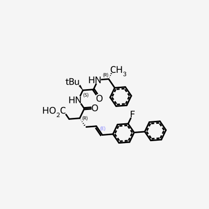 C[C@@H](NC(=O)[C@@H](NC(=O)[C@H](C/C=C/c1ccc(-c2ccccc2)c(F)c1)CC(=O)O)C(C)(C)C)c1ccccc1